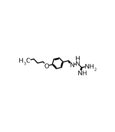 CCCCOc1ccc(C=NNC(=N)N)cc1